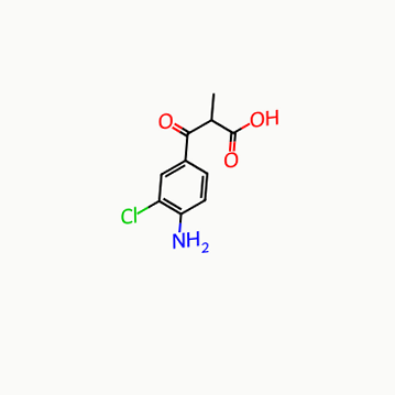 CC(C(=O)O)C(=O)c1ccc(N)c(Cl)c1